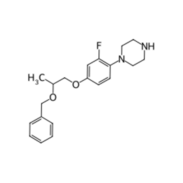 CC(COc1ccc(N2CCNCC2)c(F)c1)OCc1ccccc1